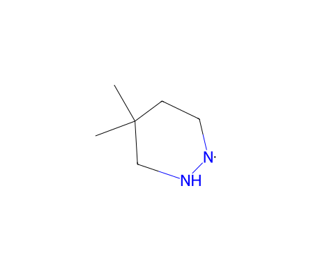 CC1(C)CC[N]NC1